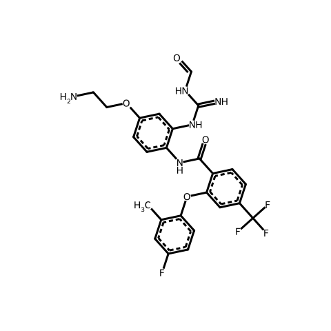 Cc1cc(F)ccc1Oc1cc(C(F)(F)F)ccc1C(=O)Nc1ccc(OCCN)cc1NC(=N)NC=O